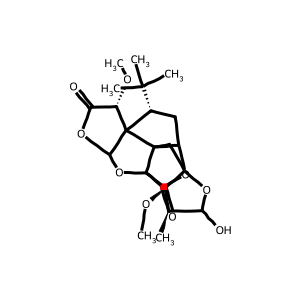 CO[C@H]1C(=O)OC2OC34C(=O)OC5C[C@@H](C(C)(C)C)C21C53CC1OC(O)[C@@H](C)[C@@]14OC